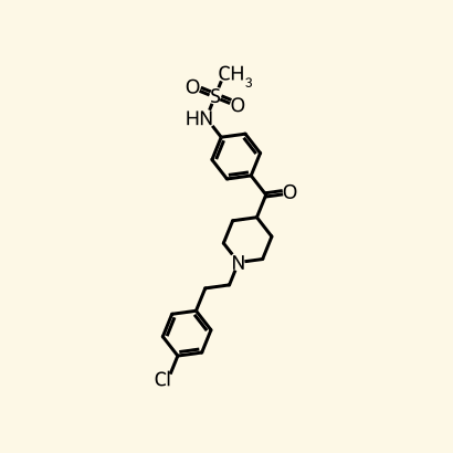 CS(=O)(=O)Nc1ccc(C(=O)C2CCN(CCc3ccc(Cl)cc3)CC2)cc1